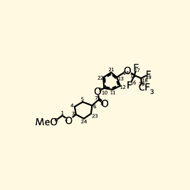 COCOC1CCC(C(=O)Oc2ccc(OC(F)(F)C(F)C(F)(F)F)cc2)CC1